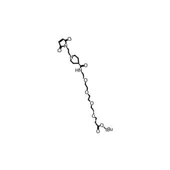 CC(C)(C)OC(=O)CCOCCOCCOCCOCCNC(=O)C1CCN(CCN2C(=O)C=CC2=O)CC1